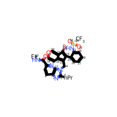 CCCc1nc2ccc(C(=O)NCC)nc2n1Cc1c2ccocc-2c(Br)c1-c1ccccc1NS(=O)(=O)C(F)(F)F